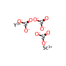 O=[Si]([O-])[O-].O=[Si]([O-])[O-].O=[Si]([O-])[O-].[Sc+3].[Y+3]